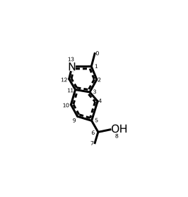 Cc1cc2cc(C(C)O)ccc2cn1